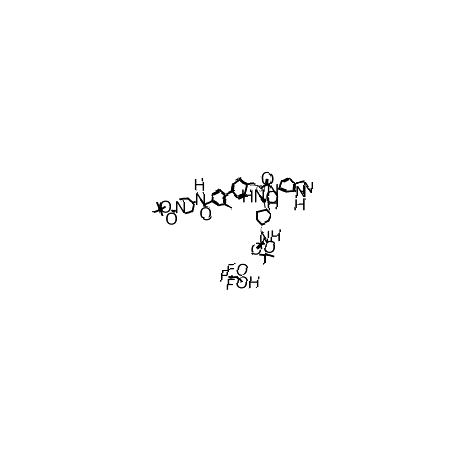 Cc1cc(C(=O)NC2CCN(C(=O)OC(C)(C)C)CC2)ccc1-c1ccc(C[C@H](NC(=O)[C@H]2CC[C@H](CNC(=O)OC(C)(C)C)CC2)C(=O)Nc2ccc3cn[nH]c3c2)cc1.O=C(O)C(F)(F)F